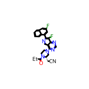 CCC(=O)N1CCN(c2ncnc3c(F)c(-c4cc(F)cc5ccccc45)ncc23)C[C@@H]1CC#N